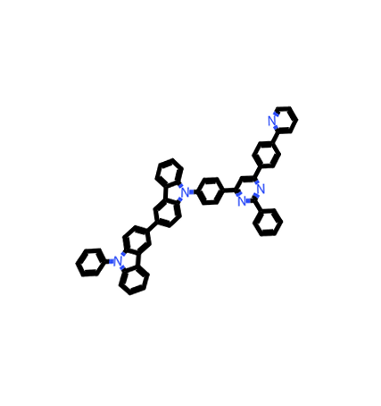 c1ccc(-c2nc(-c3ccc(-c4ccccn4)cc3)cc(-c3ccc(-n4c5ccccc5c5cc(-c6ccc7c(c6)c6ccccc6n7-c6ccccc6)ccc54)cc3)n2)cc1